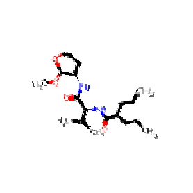 CCCC(CCC)C(=O)N[C@H](C(=O)N[C@H]1CCO[C@@H]1OC)C(C)C